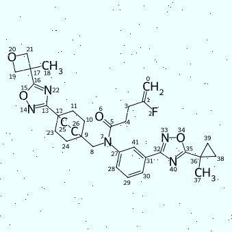 C=C(F)CCC(=O)N(CC12CCC(c3noc(C4(C)COC4)n3)(CC1)CC2)c1cccc(-c2noc(C3(C)CC3)n2)c1